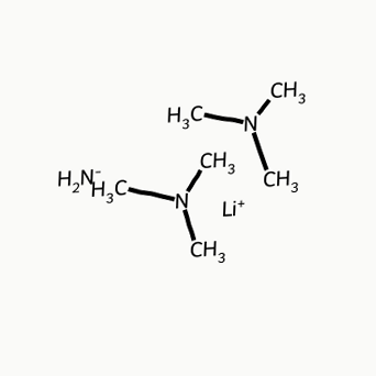 CN(C)C.CN(C)C.[Li+].[NH2-]